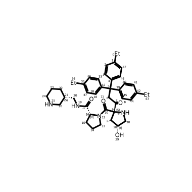 CCc1ccc(C(CC(=O)[C@]2(C(=O)N3CCC[C@@H]3C(=O)NC[C@H]3CCCNC3)C[C@@H](O)CN2)(c2ccc(CC)cc2)c2ccc(CC)cc2)cc1